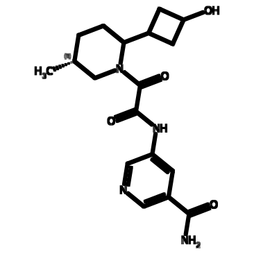 C[C@@H]1CCC(C2CC(O)C2)N(C(=O)C(=O)Nc2cncc(C(N)=O)c2)C1